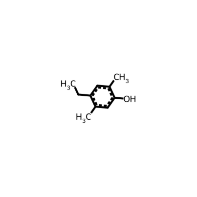 CCc1cc(C)c(O)cc1C